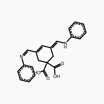 O=C(O)C1(C(=O)O)CC(/C=N\c2ccccc2)=CC(=C/Nc2ccccc2)/C1